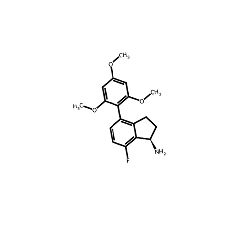 COc1cc(OC)c(-c2ccc(F)c3c2CC[C@H]3N)c(OC)c1